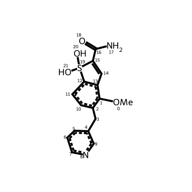 COc1c(Cc2cccnc2)ccc2c1C=C(C(N)=O)S2(O)O